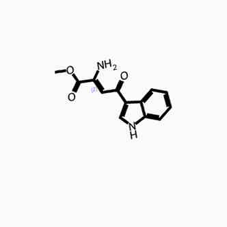 COC(=O)/C(N)=C/C(=O)c1c[nH]c2ccccc12